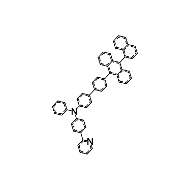 c1ccc(N(c2ccc(-c3ccc(-c4c5ccccc5c(-c5cccc6ccccc56)c5ccccc45)cc3)cc2)c2ccc(-c3ccccn3)cc2)cc1